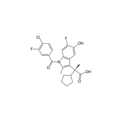 Cc1c([C@](C)(C(=O)O)C2CCCC2)c2cc(O)c(F)cc2n1C(=O)c1ccc(Cl)c(F)c1